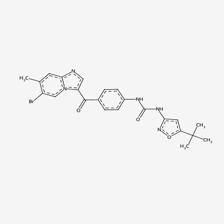 Cc1cc2ncc(C(=O)c3ccc(NC(=O)Nc4cc(C(C)(C)C)on4)cc3)n2cc1Br